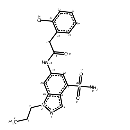 CCCn1ncc2c(S(N)(=O)=O)cc(NC(=O)Cc3ccccc3Cl)cc21